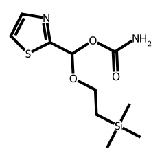 C[Si](C)(C)CCOC(OC(N)=O)c1nccs1